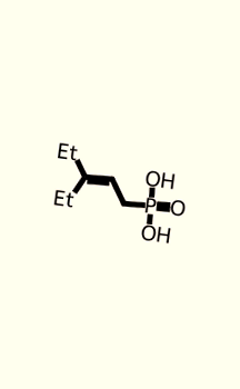 CCC(=CCP(=O)(O)O)CC